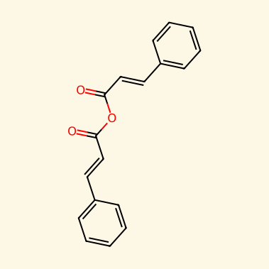 O=C(C=Cc1ccccc1)OC(=O)C=Cc1ccccc1